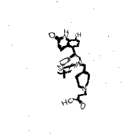 CC(C)(C)[Si](C)(C)O[C@H](CNCC1CCN(CCC(=O)O)CC1)c1ccc(O)c2[nH]c(=O)ccc12